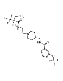 CCC(C)(C(=O)NCCN1CCC(CNC(=O)c2cccc(OC(F)(F)F)c2)CC1)C(F)(F)F